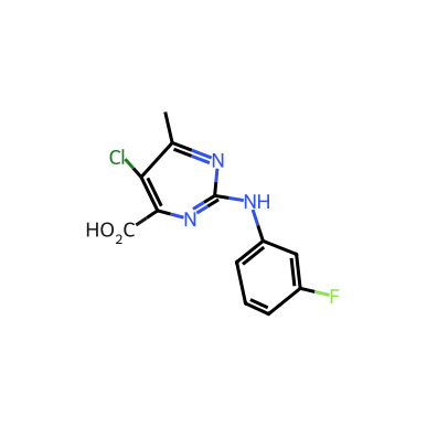 Cc1nc(Nc2cccc(F)c2)nc(C(=O)O)c1Cl